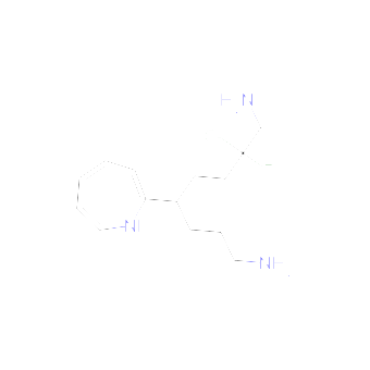 NCCCC(CCC(F)(Cl)CN)C1=CC=CC=CN1